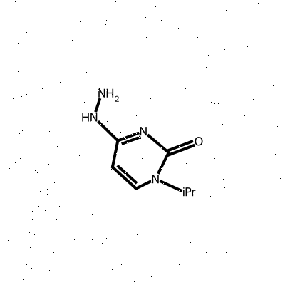 CC(C)n1ccc(NN)nc1=O